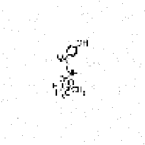 CC(C)(C)OC(=O)NCCC1(c2ccc(O)cc2)CO1